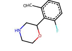 O=Cc1cccc(F)c1C1CNCCO1